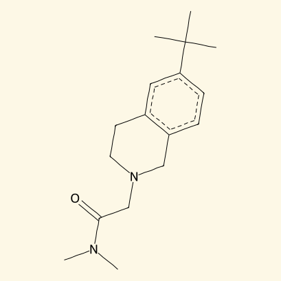 CN(C)C(=O)CN1CCc2cc(C(C)(C)C)ccc2C1